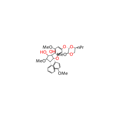 CCC[C@H]1CO[C@@H](OC)[C@H](Oc2cc(OC)c3c(c2)O[C@@]2(c4ccc(OC)cc4)[C@H](c4ccccc4)[C@@H](OC)[C@@H](O)[C@@]32O)O1